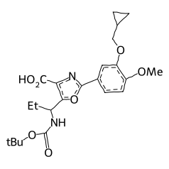 CCC(NC(=O)OC(C)(C)C)c1oc(-c2ccc(OC)c(OCC3CC3)c2)nc1C(=O)O